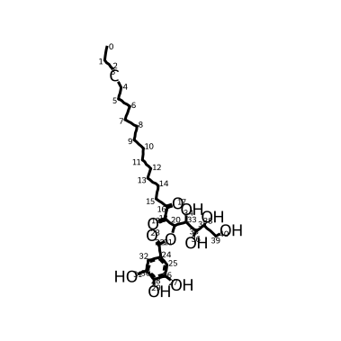 CCCCCCCCCCCCCCCCC(=O)C(=O)C(OC(=O)c1cc(O)c(O)c(O)c1)C(O)C(O)C(O)CO